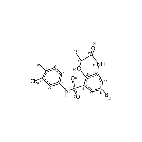 Cc1ccc(NS(=O)(=O)c2cc(Br)cc3c2OC(C)C(=O)N3)cc1Cl